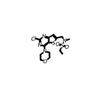 CCS(=O)(=O)N(C)Cc1cc2nc(Cl)nc(N3CCOCC3)c2s1